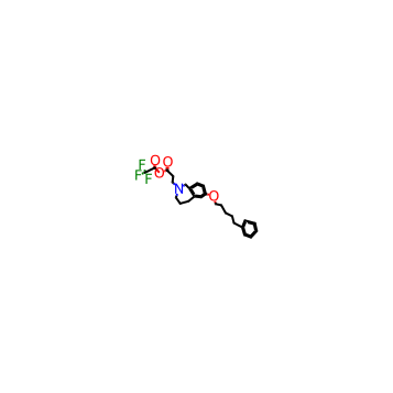 O=C(CCN1CCCc2cc(OCCCCCc3ccccc3)ccc2C1)OC(=O)C(F)(F)F